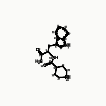 NC(=O)[C@@H](Cc1c[nH]c2ccccc12)NC(=O)C1CCNCC1